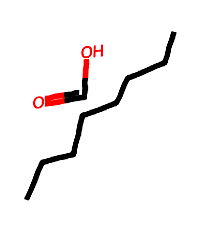 CCCCCCCC.O=CO